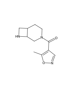 Cc1oncc1C(=O)N1CCC2CNC2C1